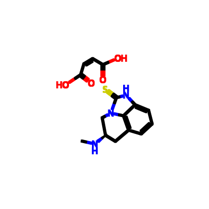 CN[C@@H]1Cc2cccc3[nH]c(=S)n(c23)C1.O=C(O)/C=C\C(=O)O